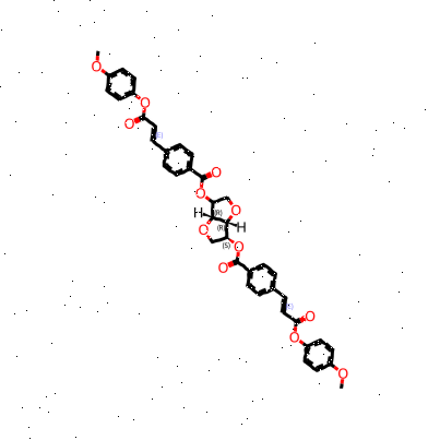 COc1ccc(OC(=O)/C=C/c2ccc(C(=O)OC3CO[C@@H]4[C@@H](OC(=O)c5ccc(/C=C/C(=O)Oc6ccc(OC)cc6)cc5)CO[C@H]34)cc2)cc1